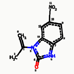 C=C(C)n1c(=O)[nH]c2ccc([N+](=O)[O-])cc21